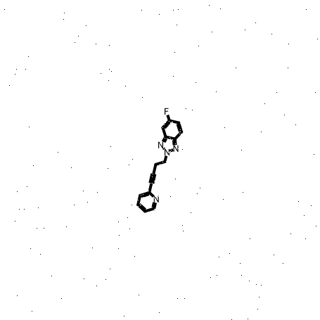 Fc1ccc2nn(CCC#Cc3ccccn3)nc2c1